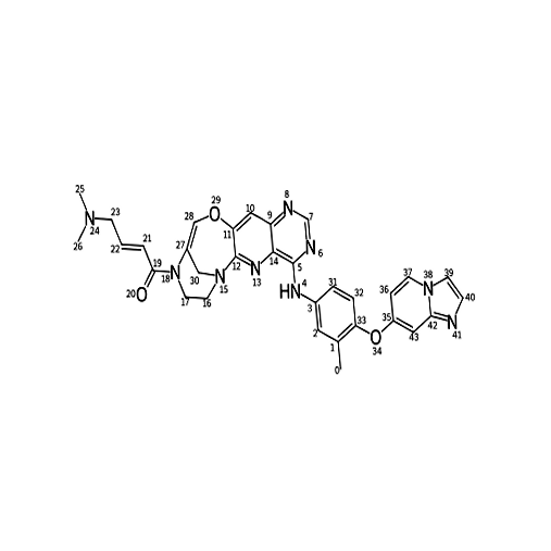 Cc1cc(Nc2ncnc3cc4c(nc23)N2CCN(C(=O)/C=C/CN(C)C)C(=CO4)C2)ccc1Oc1ccn2ccnc2c1